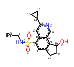 CC(C)CNS(=O)(=O)c1cc2c(c3cnc(C4CC4)cc13)C(O)CC2